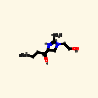 CCCCCCCCCCCC(=O)C1CN(CCO)C(S(=O)(=O)O)=N1